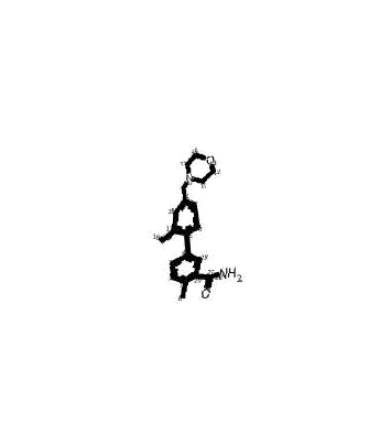 Cc1ccc(-c2ccc(CN3CCOCC3)cc2C)cc1C(N)=O